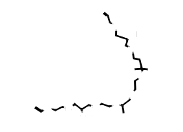 C=CCOCC(O)COCCC(C)(C)OCCOCC(C)OCCOCC(O)COCCOC=C